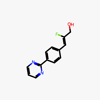 OC/C(F)=C/c1ccc(-c2ncccn2)cc1